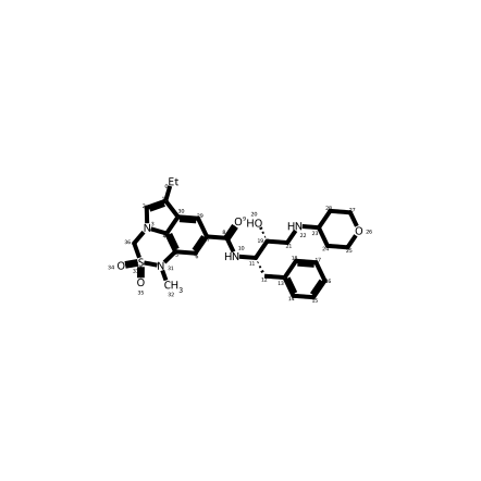 CCc1cn2c3c(cc(C(=O)N[C@@H](Cc4ccccc4)[C@H](O)CNC4CCOCC4)cc13)N(C)S(=O)(=O)C2